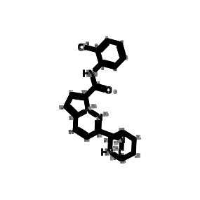 O=C(Nc1ccccc1Cl)c1ccc2ccc(N3CC4CCC3CN4)nn12